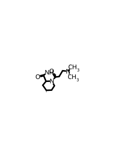 CN(C)CCC(=O)N1CC[CH]CC1C(N)=O